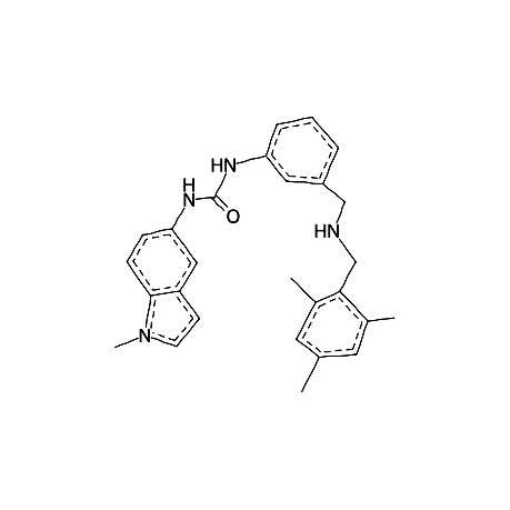 Cc1cc(C)c(CNCc2cccc(NC(=O)Nc3ccc4c(ccn4C)c3)c2)c(C)c1